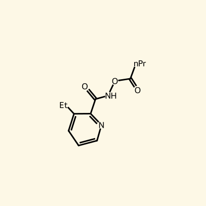 CCCC(=O)ONC(=O)c1ncccc1CC